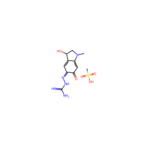 CN1CC(O)C2=C/C(=N/NC(=N)N)C(=O)C=C21.CS(=O)(=O)O